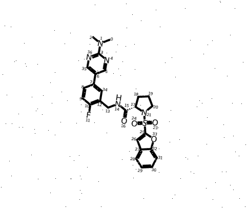 CN(C)c1ncc(-c2ccc(F)c(CNC(=O)[C@@H]3CCCN3S(=O)(=O)c3cc4ccccc4o3)c2)cn1